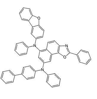 c1ccc(-c2ccc(N(c3ccccc3)c3cc(N(c4ccccc4)c4ccc5oc6ccccc6c5c4)c4ccc5nc(-c6ccccc6)oc5c4c3)cc2)cc1